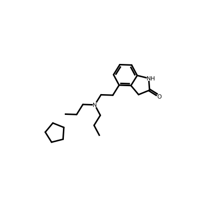 C1CCCC1.CCCN(CCC)CCc1cccc2c1CC(=O)N2